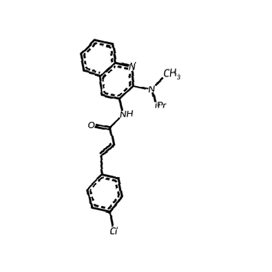 CC(C)N(C)c1nc2ccccc2cc1NC(=O)C=Cc1ccc(Cl)cc1